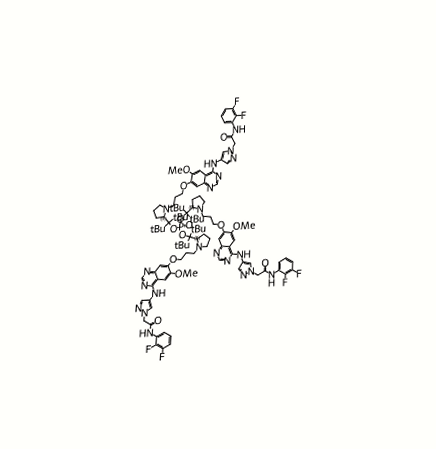 COc1cc2c(Nc3cnn(CC(=O)Nc4cccc(F)c4F)c3)ncnc2cc1OCCCN1CCC[C@@H]1C(OP(=O)(OC([C@H]1CCCN1CCCOc1cc2ncnc(Nc3cnn(CC(=O)Nc4cccc(F)c4F)c3)c2cc1OC)(C(C)(C)C)C(C)(C)C)OC([C@H]1CCCN1CCCOc1cc2ncnc(Nc3cnn(CC(=O)Nc4cccc(F)c4F)c3)c2cc1OC)(C(C)(C)C)C(C)(C)C)(C(C)(C)C)C(C)(C)C